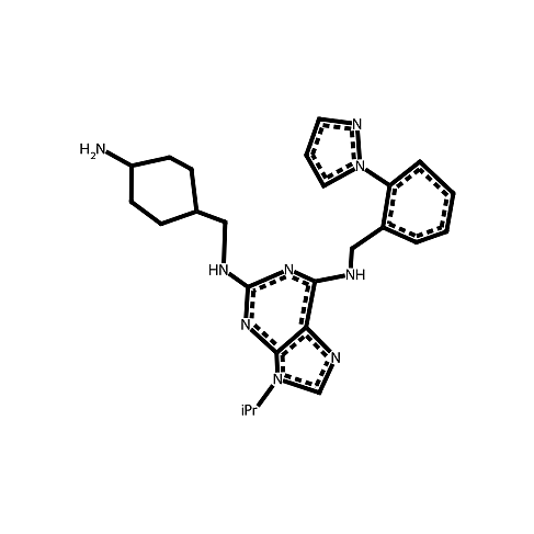 CC(C)n1cnc2c(NCc3ccccc3-n3cccn3)nc(NCC3CCC(N)CC3)nc21